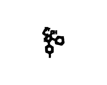 Cc1ccc(-c2nn(CC(C)C)c(O)c2-c2ccccc2)cc1